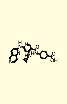 O=C(NC1CCC(C(=O)O)CC1)c1cnc(Nc2ccc3cnccc3n2)cc1NC1CC1